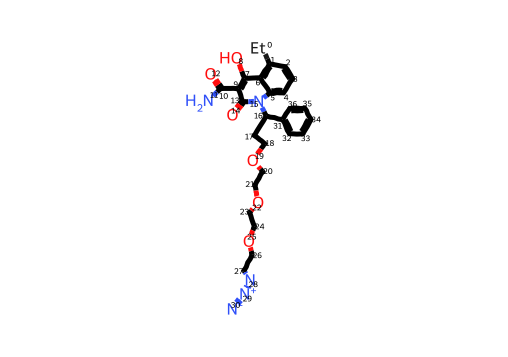 CCc1cccc2c1c(O)c(C(N)=O)c(=O)n2C(CCOCCOCCOCCN=[N+]=[N-])c1ccccc1